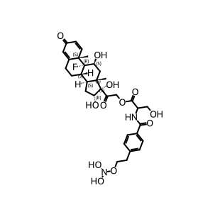 C[C@]12C=CC(=O)C=C1CC[C@H]1[C@@H]3C[C@@H](O)[C@](O)(C(=O)COC(=O)C(CO)NC(=O)c4ccc(CCON(O)O)cc4)[C@@]3(C)C[C@H](O)[C@@]12F